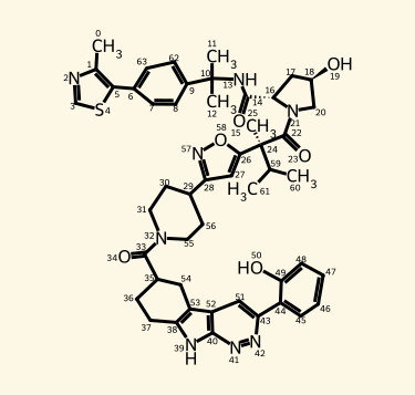 Cc1ncsc1-c1ccc(C(C)(C)NC(=O)[C@@H]2C[C@@H](O)CN2C(=O)[C@](C)(c2cc(C3CCN(C(=O)C4CCc5[nH]c6nnc(-c7ccccc7O)cc6c5C4)CC3)no2)C(C)C)cc1